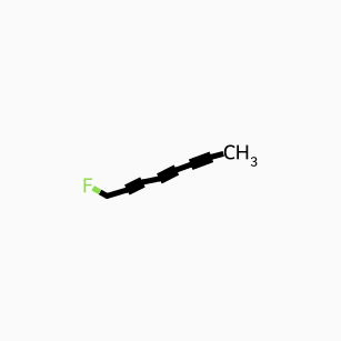 CC#CC#CC#CCF